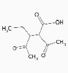 CCC(C(C)=O)C(C(C)=O)C(=O)O